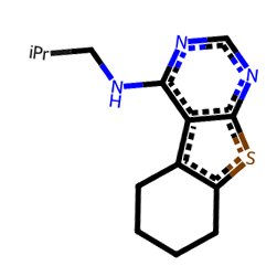 CC(C)CNc1ncnc2sc3c(c12)CCCC3